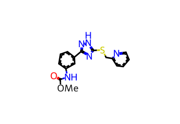 COC(=O)Nc1cccc(-c2n[nH]c(SCc3ccccn3)n2)c1